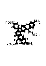 CCCCCCCCCCCCC(c1ccc(C2(c3ccc(C(CCCCCCCCCCCC)c4ccc(N)cc4C)cc3)CCC(CCCCCCCCCC)CC2)cc1)c1ccc(N)cc1C